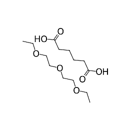 CCOCCOCCOCC.O=C(O)CCCCC(=O)O